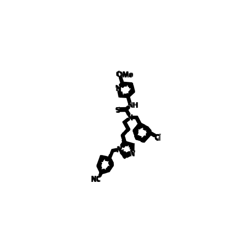 COc1ccc(NC(=S)N(CCCc2cncn2Cc2ccc(C#N)cc2)Cc2cccc(Cl)c2)cn1